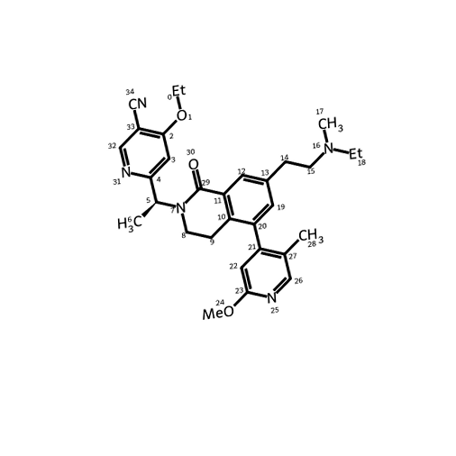 CCOc1cc([C@H](C)N2CCc3c(cc(CCN(C)CC)cc3-c3cc(OC)ncc3C)C2=O)ncc1C#N